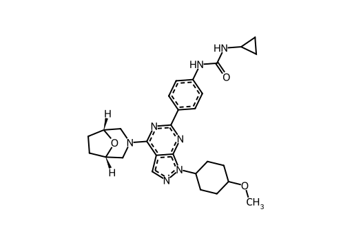 COC1CCC(n2ncc3c(N4C[C@H]5CC[C@@H](C4)O5)nc(-c4ccc(NC(=O)NC5CC5)cc4)nc32)CC1